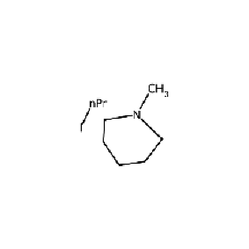 CCCI.CN1CCCCC1